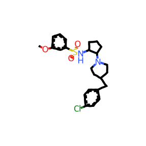 COc1cccc(S(=O)(=O)NC2CCCC2N2CCC(Cc3ccc(Cl)cc3)CC2)c1